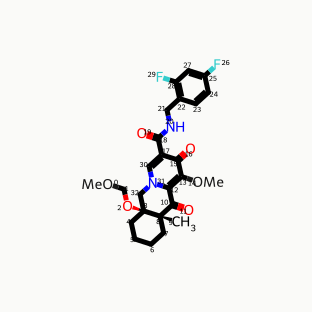 COCO[C@]12CCCC[C@@]1(C)C(=O)c1c(OC)c(=O)c(C(=O)NCc3ccc(F)cc3F)cn1C2